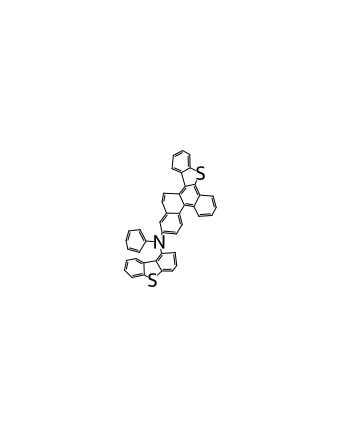 c1ccc(N(c2ccc3c(ccc4c3c3ccccc3c3sc5ccccc5c43)c2)c2cccc3sc4ccccc4c23)cc1